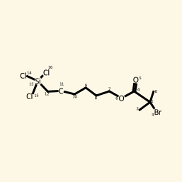 CC(C)(Br)C(=O)OCCCCCC[Si](Cl)(Cl)Cl